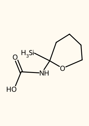 O=C(O)NC1([SiH3])CCCCO1